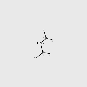 CP(C)NP(C)C